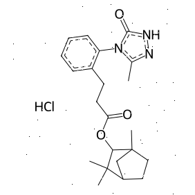 Cc1n[nH]c(=O)n1-c1ccccc1CCC(=O)OC1C2(C)CCC(C2)C1(C)C.Cl